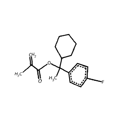 C=C(C)C(=O)OC(C)(c1ccc(F)cc1)C1CCCCC1